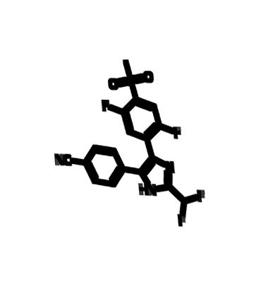 CS(=O)(=O)c1cc(F)c(-c2nc(C(F)F)[nH]c2-c2ccc(C#N)cc2)cc1F